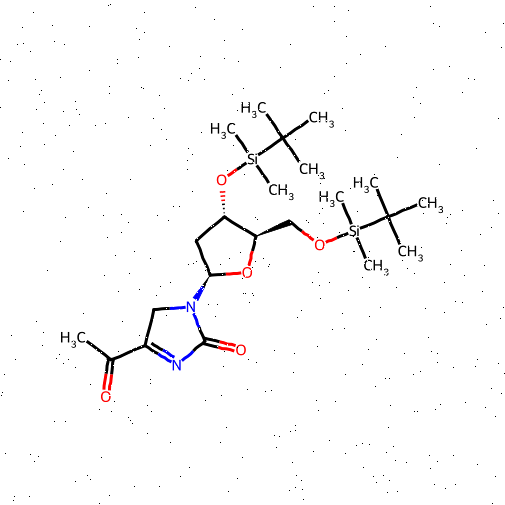 CC(=O)C1=NC(=O)N([C@H]2C[C@H](O[Si](C)(C)C(C)(C)C)[C@@H](CO[Si](C)(C)C(C)(C)C)O2)C1